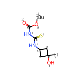 CCC1(O)CC(NC(=S)NC(=O)OC(C)(C)C)C1